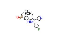 CC1(C)CCS(=S=O)c2ccc(-c3cc(-c4ccncc4)c(-c4ccc(F)cc4)[nH]3)cc21